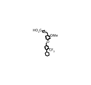 COc1cc(OCc2ccc(C3CCCCC3)c(C(F)(F)F)c2)ccc1CN1CC(C(=O)O)C1